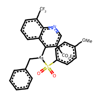 CCOC(=O)c1cnc2c(C(F)(F)F)cccc2c1[As](Cc1ccccc1)S(=O)(=O)c1ccc(OC)cc1